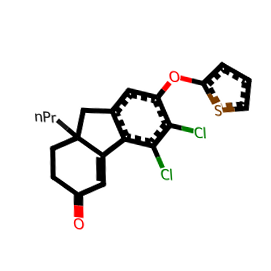 CCCC12CCC(=O)C=C1c1c(cc(Oc3cccs3)c(Cl)c1Cl)C2